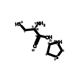 C1CSCN1.N[C@@H](CS)C(=O)O